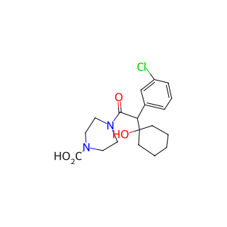 O=C(O)N1CCN(C(=O)C(c2cccc(Cl)c2)C2(O)CCCCC2)CC1